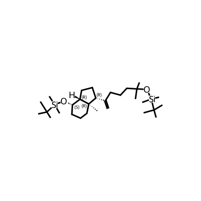 C=C(CCCC(C)(C)O[Si](C)(C)C(C)(C)C)[C@H]1CC[C@H]2[C@@H](O[Si](C)(C)C(C)(C)C)CCC[C@]12C